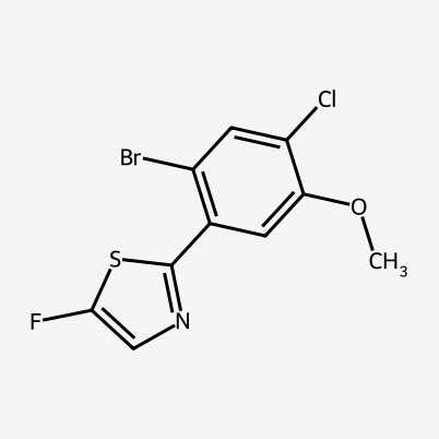 COc1cc(-c2ncc(F)s2)c(Br)cc1Cl